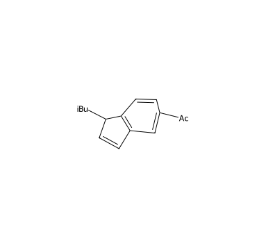 CCC(C)C1C=Cc2cc(C(C)=O)ccc21